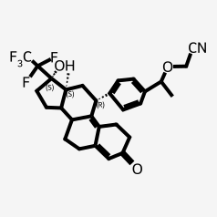 CC(OCC#N)c1ccc([C@H]2C[C@@]3(C)C(CC[C@@]3(O)C(F)(F)C(F)(F)F)C3CCC4=CC(=O)CCC4=C32)cc1